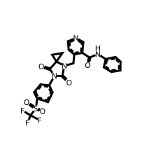 O=C(Nc1ccccc1)c1cnccc1CN1C(=O)N(c2ccc(S(=O)(=O)C(F)(F)F)cc2)C(=O)C12CC2